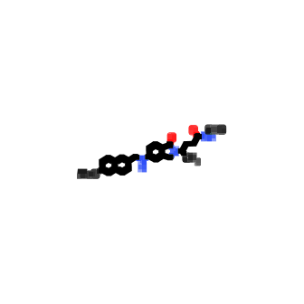 COc1ccc2cc(CNc3ccc4c(c3)CN(C(C)CCC(=O)NC=O)C4=O)ccc2c1